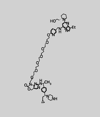 CCc1cnn2c(NCc3ccc(OCCOCCOCCOCCOCCOCCOCCN4C(=O)OCc5cnc(N[C@@H](C)c6ccc([C@H](CC7CC7)N7CCNCC7)cc6)nc54)nc3)cc(N3CCCC[C@H]3CCO)nc12